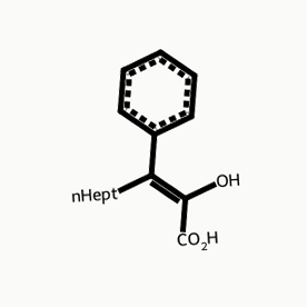 CCCCCCCC(=C(O)C(=O)O)c1ccccc1